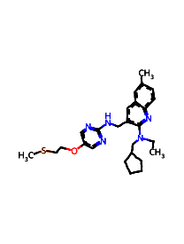 CCN(CC1CCCC1)c1nc2ccc(C)cc2cc1CNc1ncc(OCCSC)cn1